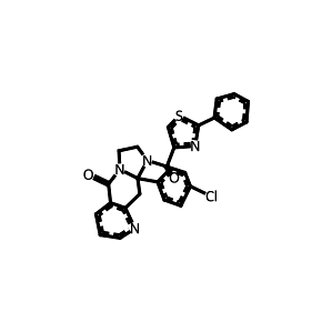 O=C(c1csc(-c2ccccc2)n1)N1CCN2C(=O)c3cccnc3CC12c1ccc(Cl)cc1